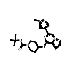 Cn1cc(-c2cn3nccc3c(OC3CCN(C(=O)OC(C)(C)C)CC3)n2)cn1